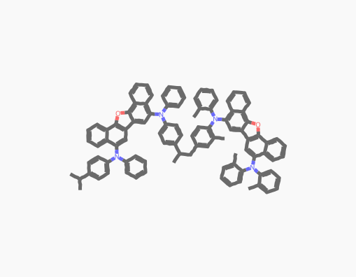 Cc1ccccc1N(c1ccccc1C)c1cc2c3cc(N(c4ccccc4C)c4ccc(CC(C)c5ccc(N(c6ccccc6)c6cc7c8cc(N(c9ccccc9)c9ccc(C(C)C)cc9)c9ccccc9c8oc7c7ccccc67)cc5)cc4C)c4ccccc4c3oc2c2ccccc12